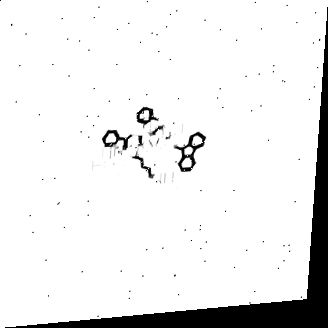 NCCCC[C@H](NC(=O)[C@H](Cc1c[nH]c2ccccc12)NC(=O)[C@H](Cc1ccccc1)NC(=O)OCC1c2ccccc2-c2ccccc21)C(=O)O